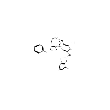 C[C@H]1CC[C@]2(CO[C@H](Cc3ccccc3)O2)[C@H]2CN1C(=O)c1c(O)c(=O)c(C(=O)NCc3c(F)cc(F)cc3F)cn12